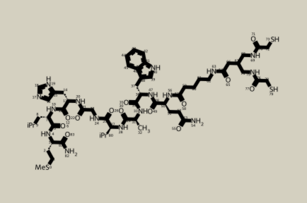 CSCC[C@H](NC(=O)[C@H](CC(C)C)NC(=O)[C@H](Cc1cnc[nH]1)NC(=O)CNC(=O)[C@@H](NC(=O)[C@H](C)NC(=O)[C@H](Cc1c[nH]c2ccccc12)NC(=O)[C@H](CCC(N)=O)NC(=O)CCCCNC(=O)CC(CNC(=O)CS)CNC(=O)CS)C(C)C)C(N)=O